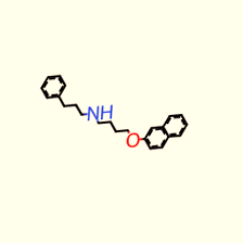 c1ccc(CCCNCCCCOc2ccc3ccccc3c2)cc1